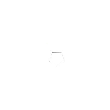 F[C]1CC=CC1